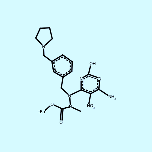 CN(C(=O)OC(C)(C)C)N(Cc1cccc(CN2CCCC2)c1)c1nc(O)nc(N)c1[N+](=O)[O-]